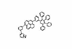 c1ccc(-c2cc(-c3cccc(-c4cc5ccc(-c6cccc(-c7cccnc7)c6)c6ccc7cccc4c7c56)c3)c(-c3ccccc3)c(-c3ccccc3)c2-c2ccccc2)cc1